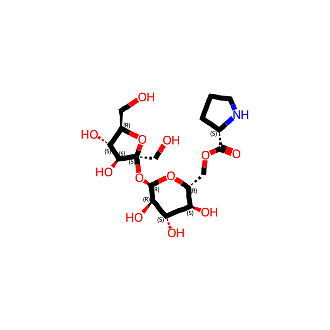 O=C(OC[C@H]1O[C@H](O[C@]2(CO)O[C@H](CO)[C@@H](O)[C@@H]2O)[C@H](O)[C@@H](O)[C@@H]1O)[C@@H]1CCCN1